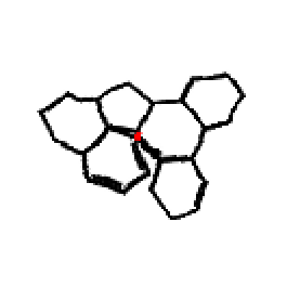 C1=CC2CCCC3CC4C5CCCCC5C5C=CCCC56C=CC=CC46C23C=C1